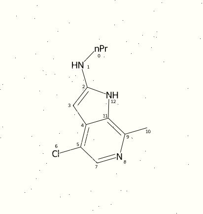 CCCNc1cc2c(Cl)cnc(C)c2[nH]1